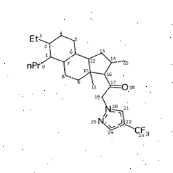 CCCC1C(CC)CCC2C1CCC1(C)C2CC(C)C1C(=O)Cn1cc(C(F)(F)F)cn1